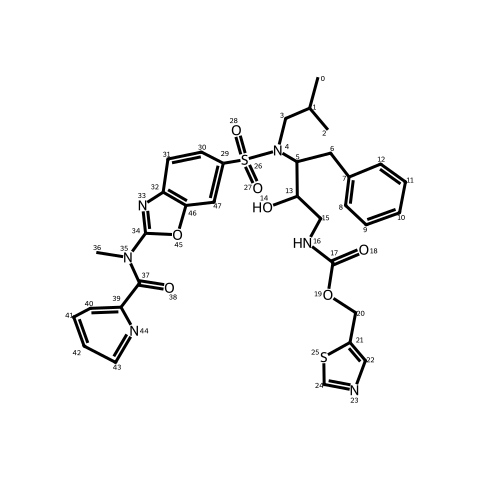 CC(C)CN(C(Cc1ccccc1)C(O)CNC(=O)OCc1cncs1)S(=O)(=O)c1ccc2nc(N(C)C(=O)c3ccccn3)oc2c1